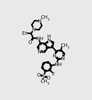 CCC(C(=O)Nc1cncc2c(-c3nc(Nc4cccc(S(C)(=O)=O)c4F)ncc3C)c[nH]c12)N1CCN(C)CC1